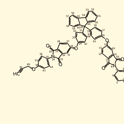 C#CCOc1ccc(N2C(=O)c3ccc(Oc4ccc(C5(c6ccc(Oc7ccc8c(c7)C(=O)N(c7ccc(OCC#C)cc7)C8=O)cc6)c6ccccc6-c6ccccc65)cc4)cc3C2=O)cc1